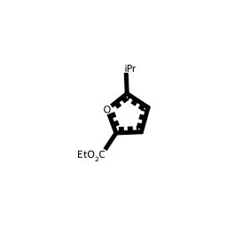 CCOC(=O)c1ccc(C(C)C)o1